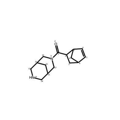 O=C(C1CC2C=CC1C2)N1CC2CNCC(C2)C1